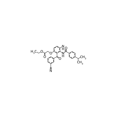 CCOC(=O)COc1ccc(N)c(NC(=O)c2ccc(C(C)C)cc2)c1C(=O)c1cccc(C#N)c1